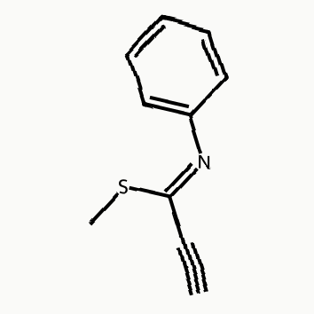 C#CC(=Nc1ccccc1)SC